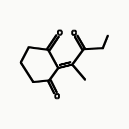 CCC(=O)C(C)=C1C(=O)CCCC1=O